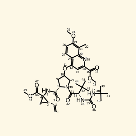 C=C[C@@H]1C[C@]1(NC(=O)[C@@H]1C[C@@H](Oc2cc(C(=O)OC)nc3c(C)c(OC)ccc23)CN1C(=O)[C@@H](NC(=O)NC(C)(C)C)C(C)(C)C)C(=O)OC